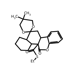 CCSC(=O)C12C(=O)Oc3ccccc3C1CC1(OCC(C)(C)CO1)C1CCCCC12